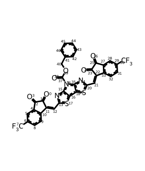 O=C1C(=O)c2cc(C(F)(F)F)ccc2/C1=C/c1nc2c(s1)c1sc(/C=C3\C(=O)C(=O)c4cc(C(F)(F)F)ccc43)nc1n2C(=O)OCc1ccccc1